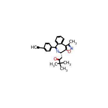 C#Cc1ccc(C2=N[C@@H](CC(=O)C(C)(C)C)c3onc(C)c3-c3ccccc32)cc1